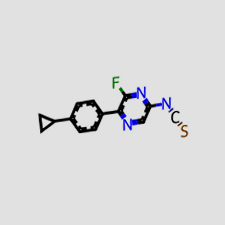 Fc1nc(N=C=S)cnc1-c1ccc(C2CC2)cc1